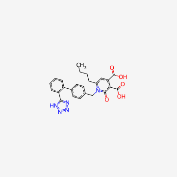 CCCCc1cc(C(=O)O)c(C(=O)O)c(=O)n1Cc1ccc(-c2ccccc2-c2nnn[nH]2)cc1